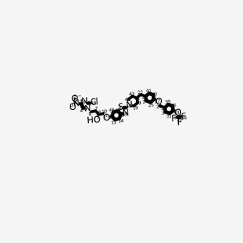 O=[N+]([O-])c1cn(CCC(O)COc2ccc3nc(N4CCC(Cc5ccc(OCc6ccc(OC(F)(F)F)cc6)cc5)CC4)sc3c2)c(Cl)n1